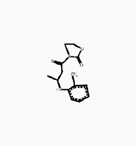 CC(CC(=O)N1CCOC1=O)Nc1ccccc1C(F)(F)F